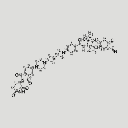 CC1(C)[C@H](NC(O)c2ccc(N3CC(N4CC(N5CCN(c6ccc7c(c6)C(=O)N(C6CCC(=O)NC6=O)C7=O)CC5)C4)C3)cc2)C(C)(C)[C@H]1Oc1ccc(C#N)c(Cl)c1